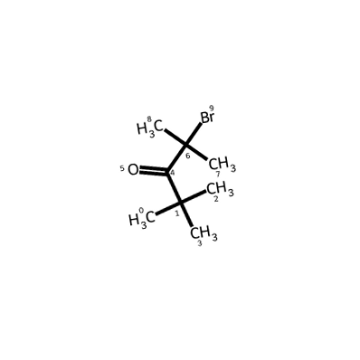 CC(C)(C)C(=O)C(C)(C)Br